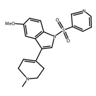 COc1ccc2c(c1)c(C1=CCN(C)CC1)cn2S(=O)(=O)c1cccnc1